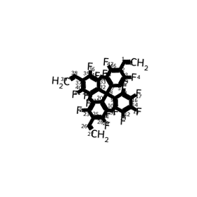 C=Cc1c(F)c(F)c(C(c2c(F)c(F)c(F)c(F)c2F)(c2c(F)c(F)c(C=C)c(F)c2F)c2c(F)c(F)c(C=C)c(F)c2F)c(F)c1F